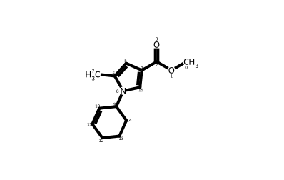 COC(=O)c1cc(C)n(C2C=CCCC2)c1